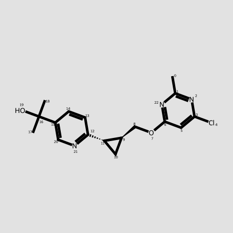 Cc1nc(Cl)cc(OC[C@H]2C[C@@H]2c2ccc(C(C)(C)O)cn2)n1